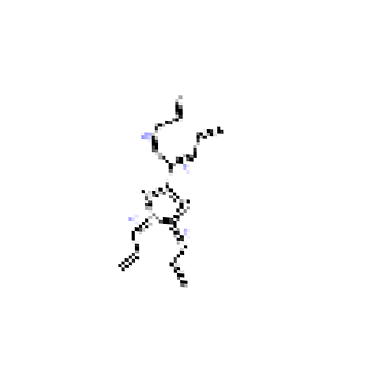 C=C/C=C\C(=C/C=C)c1nc(=C/C=C)/c(=C\C=C)o1